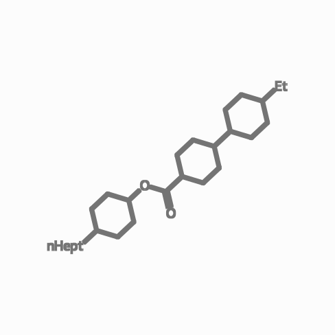 CCCCCCCC1CCC(OC(=O)C2CCC(C3CCC(CC)CC3)CC2)CC1